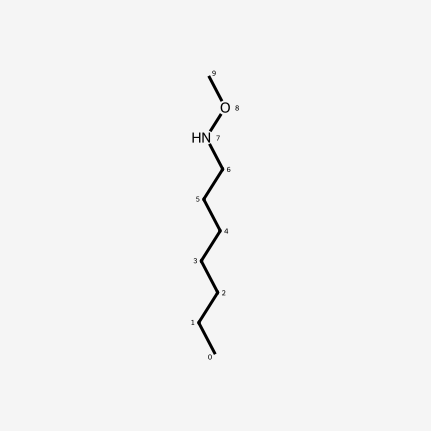 CCCCCCCNOC